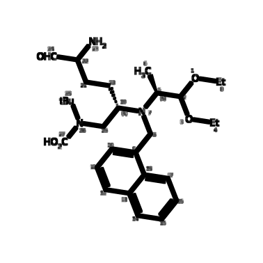 CCOC(OCC)[C@H](C)N(Cc1cccc2ccccc12)[C@@H](CCC(N)C=O)CN(C(=O)O)C(C)(C)C